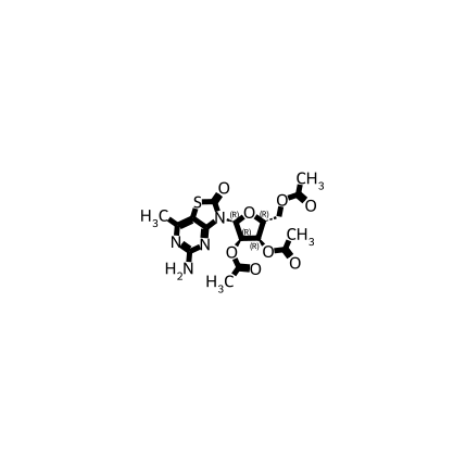 CC(=O)OC[C@H]1O[C@@H](n2c(=O)sc3c(C)nc(N)nc32)[C@H](OC(C)=O)[C@@H]1OC(C)=O